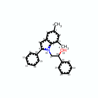 Cc1cc(C)c2c(c1)cc(-c1ccccc1)n2CC(O)c1ccccc1